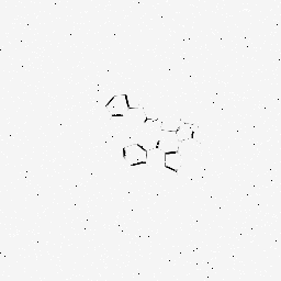 CCOC(=O)c1cccc(NC(=O)NCc2nnc(C)n2-c2sc(CC)cc2C(=O)c2ccccc2Cl)c1